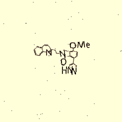 COc1ccc(-c2cn[nH]c2)c2c1CN(CCc1ccc3ccccc3n1)C2=O